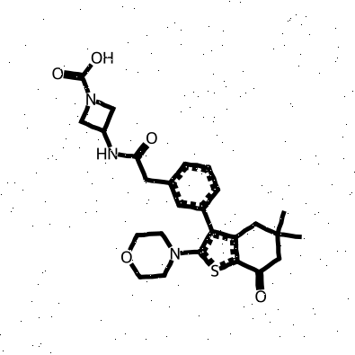 CC1(C)CC(=O)c2sc(N3CCOCC3)c(-c3cccc(CC(=O)NC4CN(C(=O)O)C4)c3)c2C1